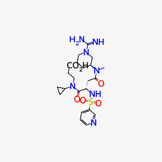 CN(C(=O)C[C@H](NS(=O)(=O)c1cccnc1)C(=O)N(CCC(=O)O)C1CC1)[C@H]1CCCN(C(=N)N)C1